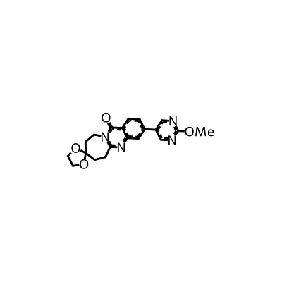 COc1ncc(-c2ccc3c(=O)n4c(nc3c2)CCC2(CC4)OCCO2)cn1